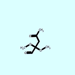 COC([C]=O)(CC(C)=O)OC